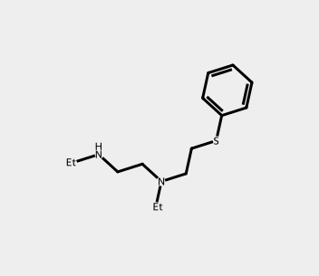 CCNCCN(CC)CCSc1ccccc1